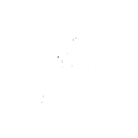 C=CCCOCC(=O)N(CCCC)c1cc([N+](=O)[O-])ccc1C(=O)OCC